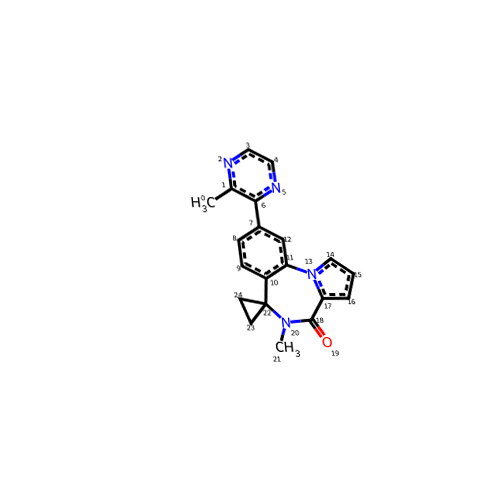 Cc1nccnc1-c1ccc2c(c1)-n1cccc1C(=O)N(C)C21CC1